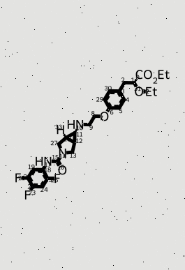 CCOC(=O)[C@H](Cc1ccc(OCCN[C@H]2C3CN(C(=O)Nc4cc(F)c(F)cc4F)C[C@@H]32)cc1)OCC